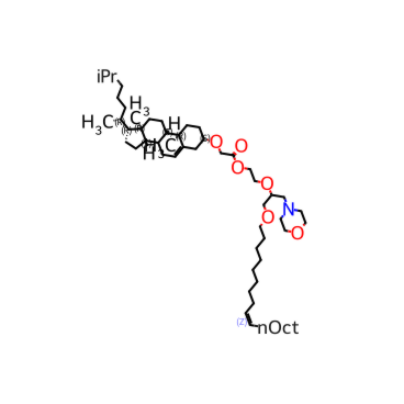 CCCCCCCC/C=C\CCCCCCCCOCC(CN1CCOCC1)OCCOC(=O)CO[C@H]1CC[C@@]2(C)C(=CCC3[C@@H]4CC[C@H]([C@H](C)CCCC(C)C)[C@@]4(C)CC[C@@H]32)C1